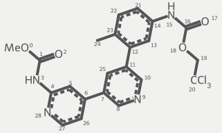 COC(=O)Nc1cc(-c2cncc(-c3cc(NC(=O)OCC(Cl)(Cl)Cl)ccc3C)c2)ccn1